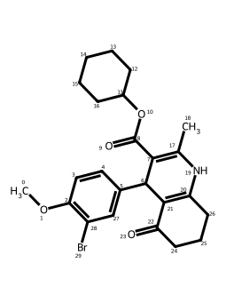 COc1ccc(C2C(C(=O)OC3CCCCC3)=C(C)NC3=C2C(=O)CCC3)cc1Br